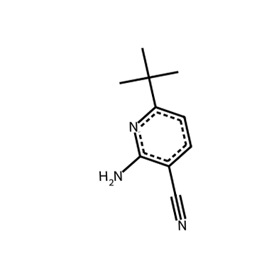 CC(C)(C)c1ccc(C#N)c(N)n1